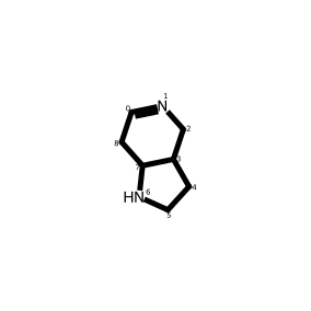 C1=NCC2CCNC2C1